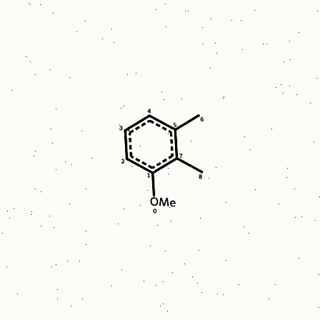 COc1c[c]cc(C)c1C